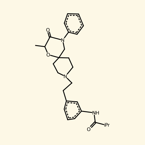 CC(C)C(=O)Nc1cccc(CCN2CCC3(CC2)CN(c2ccccc2)C(=O)C(C)O3)c1